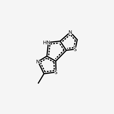 Cc1nc2[nH]c3ncsc3c2s1